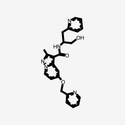 Cc1nn2ccc(OCc3ccccn3)cc2c1C(=O)NC(CO)Cc1ccccn1